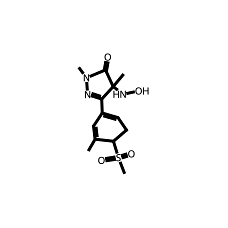 CC1=CC(C2=NN(C)C(=O)C2(C)NO)=CCC1S(C)(=O)=O